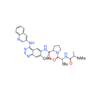 CNC(C)C(=O)NC(C(=O)N1CCCC1C(=O)Nc1cc2c(Nc3cnc4ccccc4c3)ncnc2cc1OC)C(C)(C)C